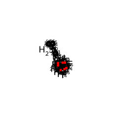 Fc1c(F)c(F)c([B-](c2c(F)c(F)c(F)c(F)c2F)(c2c(F)c(F)c(F)c(F)c2F)c2c(F)c(F)c(F)c(F)c2F)c(F)c1F.Oc1ccc(CC([SH2+])c2cccc3ccccc23)cc1